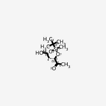 CC(=O)[C@H](CCO)O[Si](C)(C)C(C)(C)C